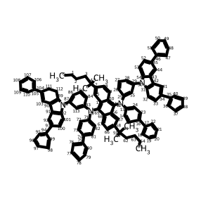 CCCCC(C)(C)c1ccc2c(N(c3ccc(-c4ccccc4)cc3)c3cccc(-n4c5ccc(-c6ccccc6)cc5c5cc(-c6ccccc6)ccc54)c3)c3cc(C(C)(C)CCCC)ccc3c(N(c3ccc(-c4ccccc4)cc3)c3cccc(-n4c5c(c6cc(-c7ccccc7)ccc64)C=C(c4ccccc4)CC5)c3)c2c1